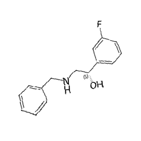 O[C@H](CNCc1ccccc1)c1cccc(F)c1